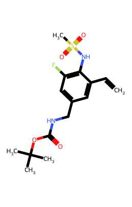 C=Cc1cc(CNC(=O)OC(C)(C)C)cc(F)c1NS(C)(=O)=O